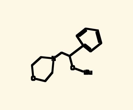 CC(C)(C)OC(CN1CCOCC1)c1ccccc1